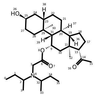 CCC(C)N(CC(=O)O[C@H]1C[C@]2(C)[C@@H](C(C)=O)CC[C@H]2[C@@H]2CC[C@H]3C[C@H](O)CC[C@]3(C)[C@H]21)C(C)CC